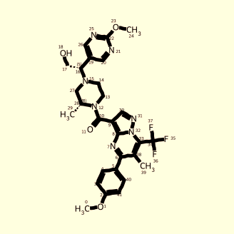 COc1ccc(-c2nc3c(C(=O)N4CCN([C@H](CO)c5cnc(OC)nc5)C[C@H]4C)cnn3c(C(F)(F)F)c2C)cc1